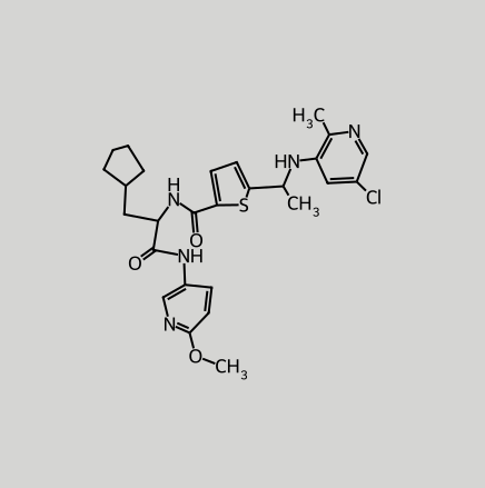 COc1ccc(NC(=O)C(CC2CCCC2)NC(=O)c2ccc(C(C)Nc3cc(Cl)cnc3C)s2)cn1